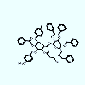 COc1ccc(CO[C@H]2[C@@H](OC(=O)CCC(C)=O)[C@@H](CO[C@@H]3O[C@H](COCc4ccccc4)[C@H](OCc4ccccc4)[C@H](OCc4ccccc4)[C@H]3OCc3ccccc3)O[C@@H](Sc3ccc(C)cc3)[C@@H]2OC(=O)c2ccccc2)cc1